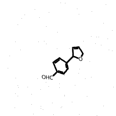 O=Cc1ccc(C2C=CCO2)cc1